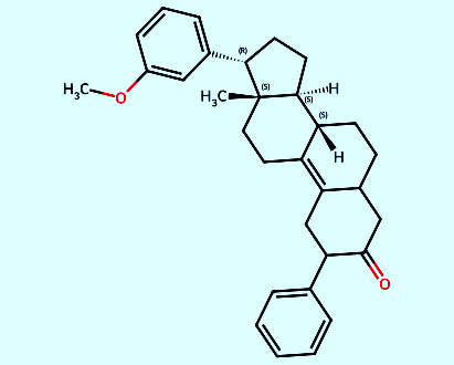 COc1cccc([C@@H]2CC[C@H]3[C@@H]4CCC5CC(=O)C(c6ccccc6)CC5=C4CC[C@]23C)c1